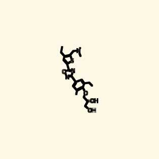 CCc1cc(-c2nc(-c3cc(C)c(OC[C@H](O)CO)c(CC)c3)no2)sc1CN(C)C